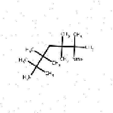 CNC(C)(C)C(C)(C)CC(C)(C)C(C)(C)N